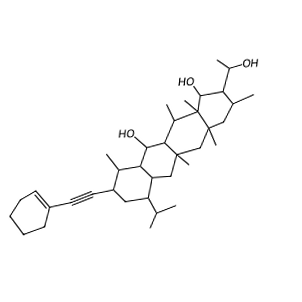 CC(C)C1CC(C#CC2=CCCCC2)C(C)C2C(O)C3C(C)C4(C)C(O)C(C(C)O)C(C)CC4(C)CC3(C)CC12